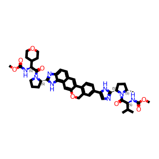 COC(=O)N[C@H](C(=O)N1[C@@H](C)CC[C@H]1c1ncc(-c2ccc3c(c2)COc2cc4c(ccc5nc([C@@H]6CCCN6C(=O)[C@@H](NC(=O)OC)C6CCOCC6)[nH]c54)cc2-3)[nH]1)C(C)C